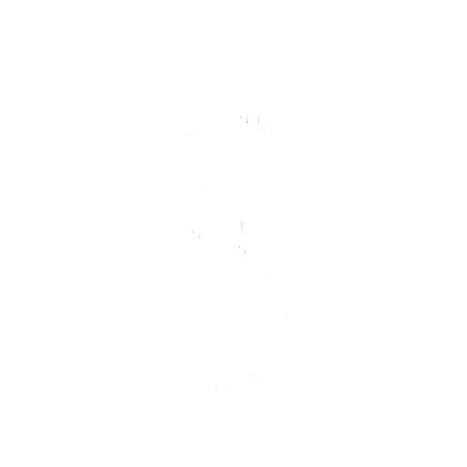 NC(=O)c1ccc2c(c1)ncn2Cc1ccc(B(O)O)cc1